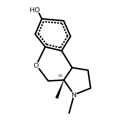 CN1CCC2c3ccc(O)cc3OC[C@]21C